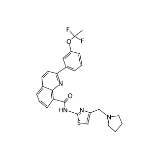 CC(F)(F)Oc1cccc(-c2ccc3cccc(C(=O)Nc4nc(CN5CCCC5)cs4)c3n2)c1